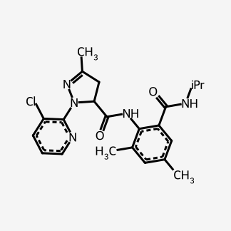 CC1=NN(c2ncccc2Cl)C(C(=O)Nc2c(C)cc(C)cc2C(=O)NC(C)C)C1